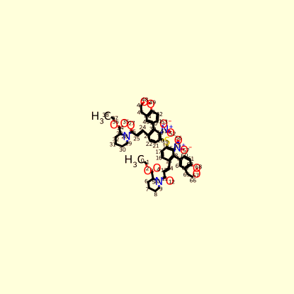 CCOC(=O)C1CCCCN1C(=O)/C=C/c1ccc(Sc2ccc(/C=C/C(=O)N3CCCCC3C(=O)OCC)c(-c3ccc4c(c3)CCOO4)c2[N+](=O)[O-])c([N+](=O)[O-])c1-c1ccc2c(c1)CCOO2